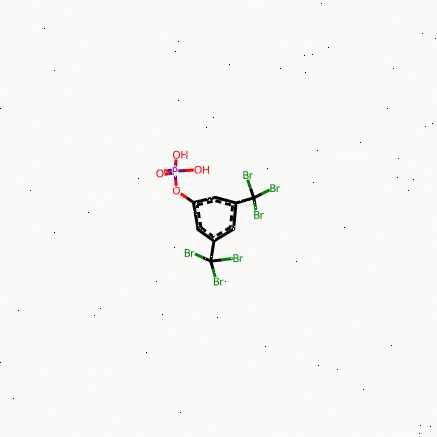 O=P(O)(O)Oc1cc(C(Br)(Br)Br)cc(C(Br)(Br)Br)c1